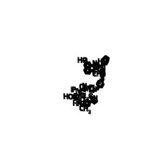 CC1c2c(ncc3c(N4CC5CCC(C4)N5)nc(OCCN4CCC(CN5CCN(c6cc([C@@H](C(=O)N7C[C@H](O)C[C@H]7C(=O)N[C@@H](C)c7ccc(-c8ccnn8C)cc7)C(C)C)on6)CC5)CC4)nc23)-c2cc(O)cc3cccc1c23